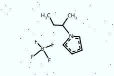 CCC(C)n1cccc1.F[B-](F)(F)F